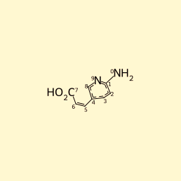 Nc1ccc(/C=C\C(=O)O)cn1